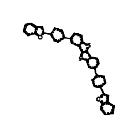 c1ccc2oc(-c3ccc(-c4ccc5c(c4)sc4c6cc(-c7ccc(-c8cc9ccccc9o8)cc7)ccc6sc54)cc3)cc2c1